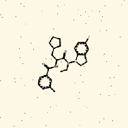 CCN(C(=O)C(CC1CCCC1)NC(=O)c1cccc(C)c1)N1CCc2cc(F)ccc21